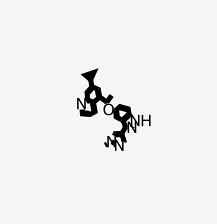 CC(Oc1ccc2[nH]nc(-c3cnn(C)c3)c2c1)c1cc(C2CC2)cc2ncccc12